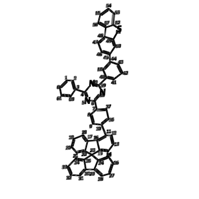 c1ccc(-c2nc(-c3ccc(-c4cccc5c4-c4ccccc4C54c5ccccc5-c5ccccc54)cc3)nc(-c3cccc(-c4ccc5c(c4)sc4ccccc45)c3)n2)cc1